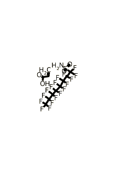 C=CC(=O)O.NS(=O)(=O)C(F)(F)C(F)(F)C(F)(F)C(F)(F)C(F)(F)C(F)(F)C(F)(F)C(F)(F)F